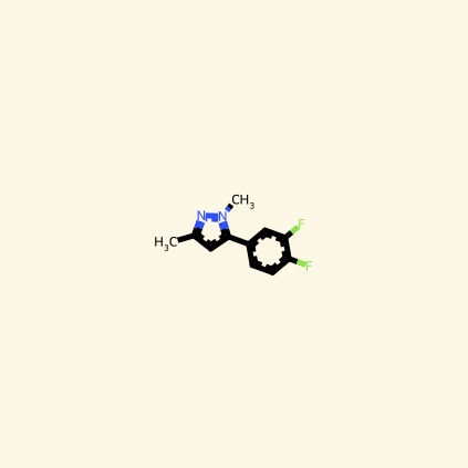 Cc1cc(-c2ccc(F)c(F)c2)n(C)n1